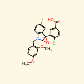 COc1ccc(CN2c3ccc(F)cc3C3(c4cc(C(=O)O)ccc4Cl)OC23)c(OC)c1